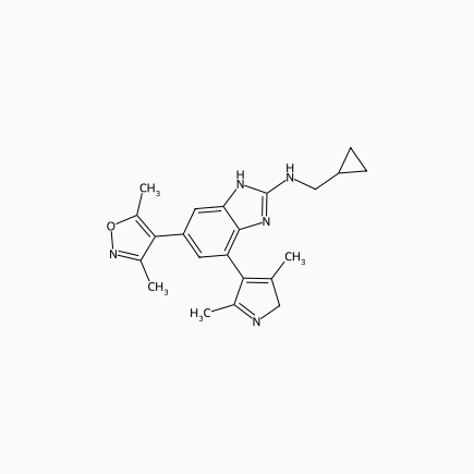 CC1=NCC(C)=C1c1cc(-c2c(C)noc2C)cc2[nH]c(NCC3CC3)nc12